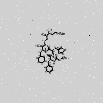 CNCCN(C)C(=O)CSC[C@H](O)[C@H](CC1CCCCC1)NC(=O)[C@H](Cc1c[nH]cn1)NC(=O)[C@H](Cc1ccccc1)NC(=O)OC(C)(C)C